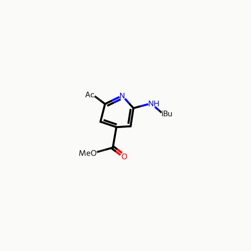 CCC(C)Nc1cc(C(=O)OC)cc(C(C)=O)n1